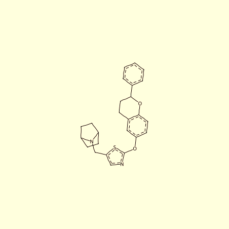 c1ccc(C2CCc3cc(Oc4ncc(CN5C6CCC5CC6)s4)ccc3O2)cc1